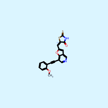 COc1ccccc1C#Cc1cncc2cc(/C=C3/SC(=S)NC3=O)oc12